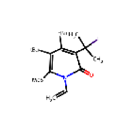 C=Cn1c(SC)c(C(C)(C)C)c(C(C)(C)C)c(C(C)(C)I)c1=O